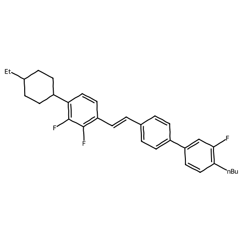 CCCCc1ccc(-c2ccc(/C=C/c3ccc(C4CCC(CC)CC4)c(F)c3F)cc2)cc1F